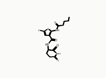 CCCCC(=O)Nc1sc(Cl)cc1C(=O)NC1CCC(=O)NC1=O